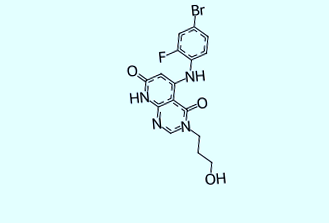 O=c1cc(Nc2ccc(Br)cc2F)c2c(=O)n(CCCO)cnc2[nH]1